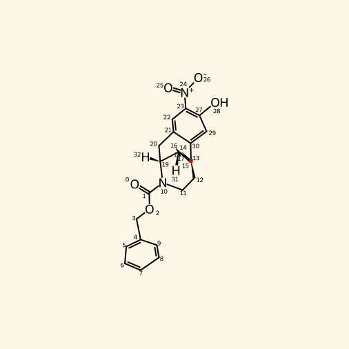 O=C(OCc1ccccc1)N1CC[C@]23CCCC[C@H]2[C@H]1Cc1cc([N+](=O)[O-])c(O)cc13